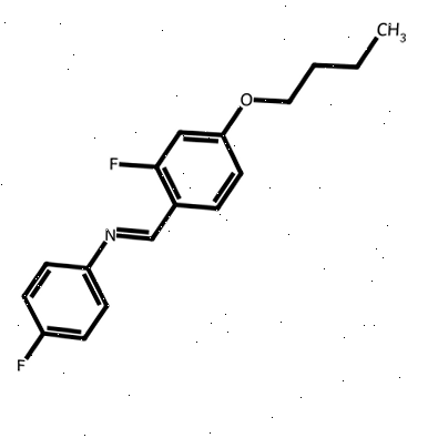 CCCCOc1ccc(/C=N/c2ccc(F)cc2)c(F)c1